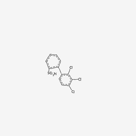 O=S(=O)(O)c1ccccc1-c1ccc(Cl)c(Cl)c1Cl